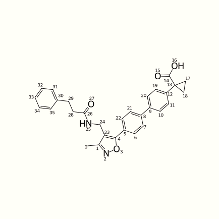 Cc1noc(-c2ccc(-c3ccc(C4(C(=O)O)CC4)cc3)cc2)c1CNC(=O)CCc1ccccc1